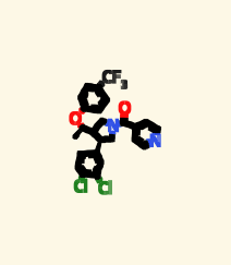 C[C@@H](Oc1ccc(C(F)(F)F)cc1)C1CN(C(=O)c2ccncc2)C[C@H]1c1ccc(Cl)c(Cl)c1